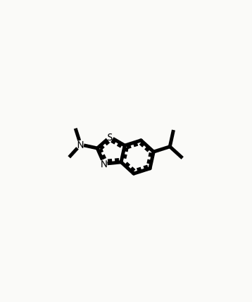 CC(C)c1ccc2nc(N(C)C)sc2c1